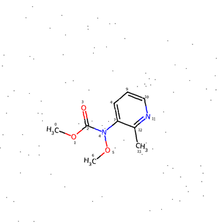 COC(=O)N(OC)c1cccnc1C